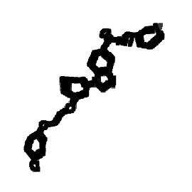 O=C(NCc1cccnc1)c1ccc2c(c1)ncn2-c1cccc(OCCOc2ccc(Cl)cc2)c1